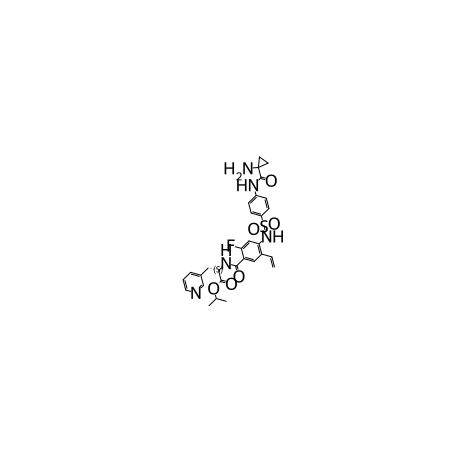 C=Cc1cc(C(=O)N[C@@H](Cc2cccnc2)C(=O)OC(C)C)c(F)cc1NS(=O)(=O)c1ccc(NC(=O)C2(N)CC2)cc1